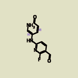 N/C=C(\C=C/C=O)Nc1ccc(C=O)c(F)n1